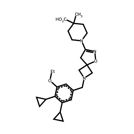 CCOc1cc(CN2CC3(CC(N4CCC(C)(C(=O)O)CC4)=NO3)C2)cc(C2CC2)c1C1CC1